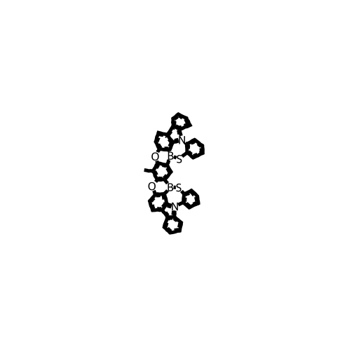 Cc1c2c(cc3c1Oc1ccc4c5ccccc5n5c4c1B3Sc1ccccc1-5)B1Sc3ccccc3-n3c4ccccc4c4ccc(c1c43)O2